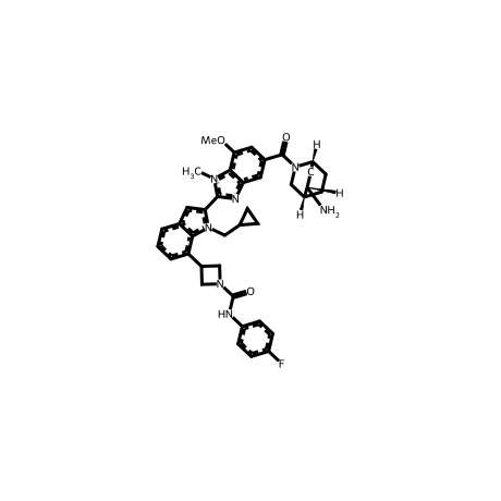 COc1cc(C(=O)N2C[C@H]3CC[C@@H]2C[C@@H]3N)cc2nc(-c3cc4cccc(C5CN(C(=O)Nc6ccc(F)cc6)C5)c4n3CC3CC3)n(C)c12